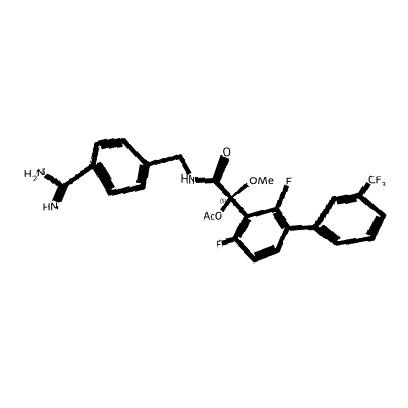 CO[C@@](OC(C)=O)(C(=O)NCc1ccc(C(=N)N)cc1)c1c(F)ccc(-c2cccc(C(F)(F)F)c2)c1F